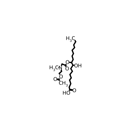 CCCCCCCCC(OC(=O)CN(C)CCOC(C)=O)C(O)CCCCCCCC(=O)O